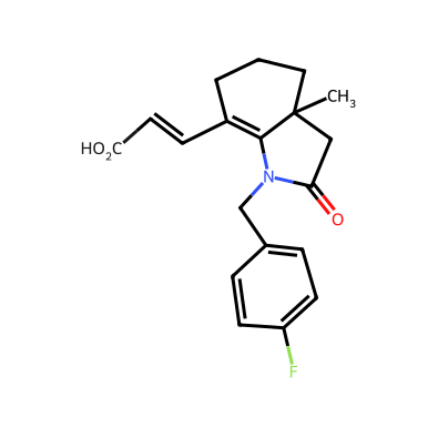 CC12CCCC(/C=C/C(=O)O)=C1N(Cc1ccc(F)cc1)C(=O)C2